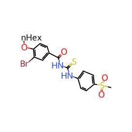 CCCCCCOc1ccc(C(=O)NC(=S)Nc2ccc(S(C)(=O)=O)cc2)cc1Br